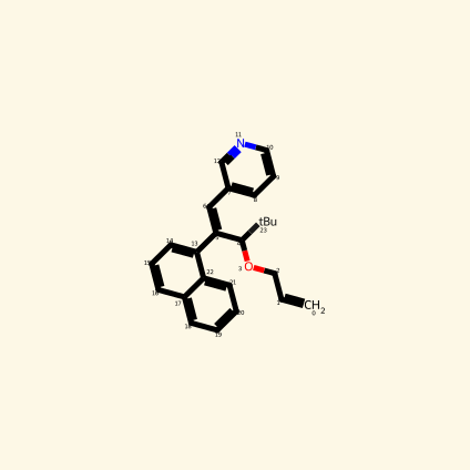 C=CCOC(/C(=C\c1cccnc1)c1cccc2ccccc12)C(C)(C)C